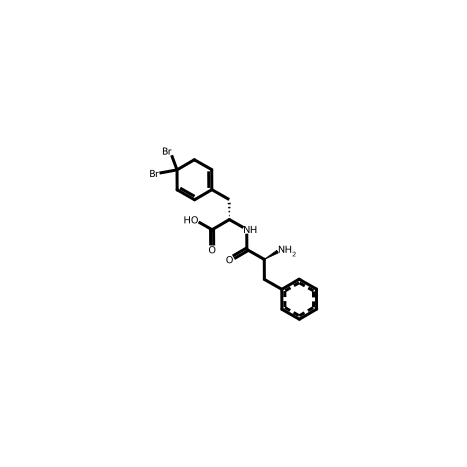 N[C@@H](Cc1ccccc1)C(=O)N[C@@H](CC1=CCC(Br)(Br)C=C1)C(=O)O